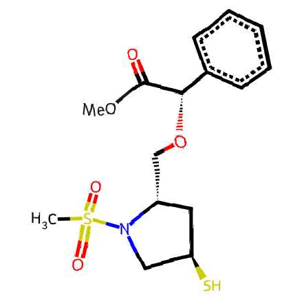 COC(=O)[C@@H](OC[C@@H]1C[C@@H](S)CN1S(C)(=O)=O)c1ccccc1